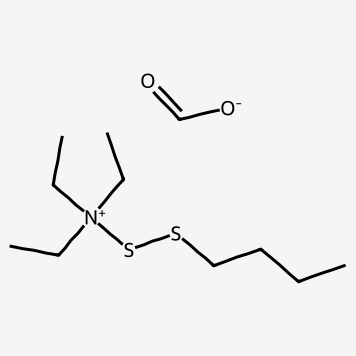 CCCCSS[N+](CC)(CC)CC.O=C[O-]